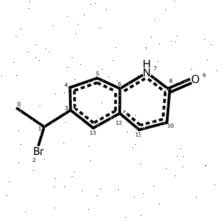 CC(Br)c1ccc2[nH]c(=O)ccc2c1